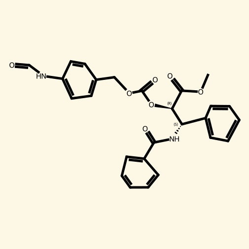 COC(=O)[C@H](OC(=O)OCc1ccc(NC=O)cc1)[C@@H](NC(=O)c1ccccc1)c1ccccc1